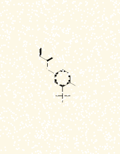 C=CC(=O)Nc1ccc(Cl)c(C(F)(F)F)c1